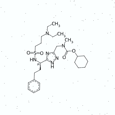 CCN(CC)CCCS(=O)(=O)N[C@H](CCc1ccccc1)c1nc(CN(C)C(=O)OC2CCCCC2)n[nH]1